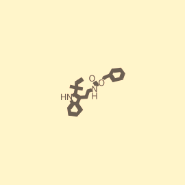 C=CC(C)(C)c1[nH]c2ccccc2c1CCNC(=O)OCc1ccccc1